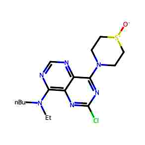 CCCCN(CC)c1ncnc2c(N3CC[S+]([O-])CC3)nc(Cl)nc12